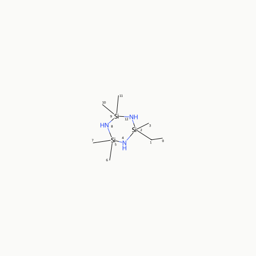 CC[Si]1(C)N[Si](C)(C)N[Si](C)(C)N1